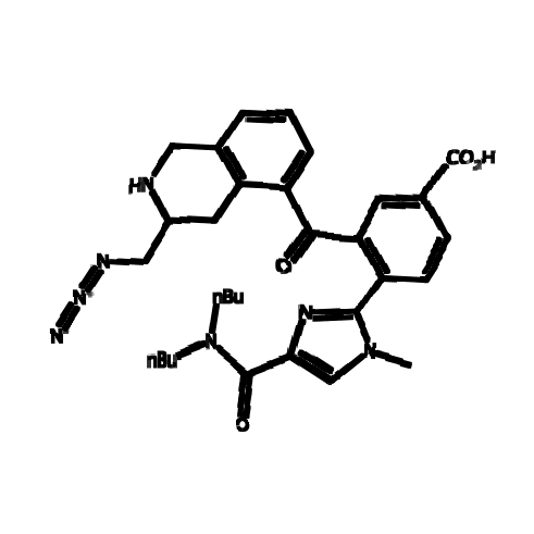 CCCCN(CCCC)C(=O)c1cn(C)c(-c2ccc(C(=O)O)cc2C(=O)c2cccc3c2CC(CN=[N+]=[N-])NC3)n1